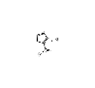 [CH3][V+2](=[O])[C]1=CC=CC1.[Cl-].[Cl-]